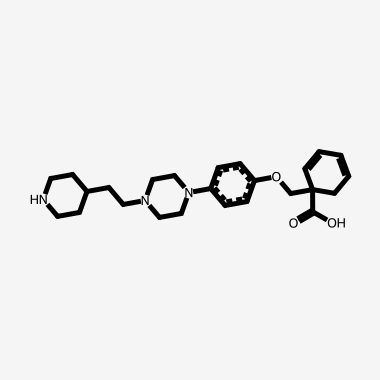 O=C(O)C1(COc2ccc(N3CCN(CCC4CCNCC4)CC3)cc2)C=CC=CC1